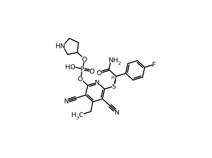 CCc1c(C#N)c(OP(=O)(O)OC2CCNC2)nc(S[C@@H](C(N)=O)c2ccc(F)cc2)c1C#N